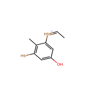 C/C=[SH]\c1cc(O)cc(S)c1C